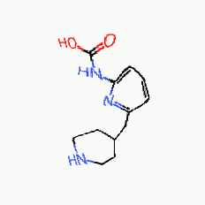 O=C(O)Nc1cccc(CC2CCNCC2)n1